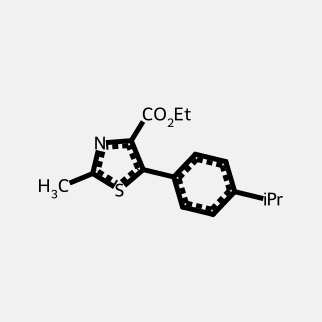 CCOC(=O)c1nc(C)sc1-c1ccc(C(C)C)cc1